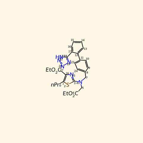 CCCc1sc(N(CC(=O)OCC)Cc2ccc(-c3ccccc3-c3nnn[nH]3)cc2)nc1C(=O)OCC